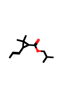 CC=CC1C(C(=O)OCC(C)C)C1(C)C